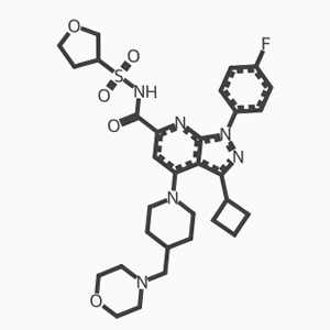 O=C(NS(=O)(=O)C1CCOC1)c1cc(N2CCC(CN3CCOCC3)CC2)c2c(C3CCC3)nn(-c3ccc(F)cc3)c2n1